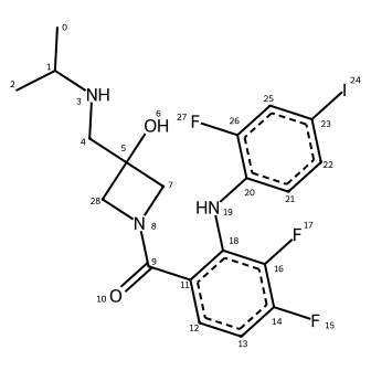 CC(C)NCC1(O)CN(C(=O)c2ccc(F)c(F)c2Nc2ccc(I)cc2F)C1